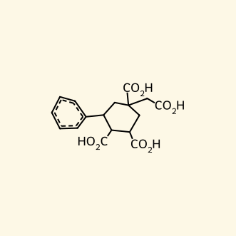 O=C(O)CC1(C(=O)O)CC(C(=O)O)C(C(=O)O)C(c2ccccc2)C1